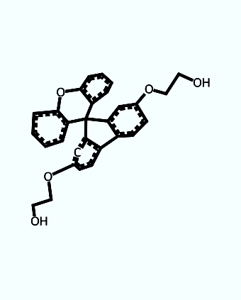 OCCOc1ccc2c(c1)C1(c3ccccc3Oc3ccccc31)c1cc(OCCO)ccc1-2